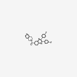 O=C(c1ccc2nc(-c3ccc(F)cc3)c(-c3ccc(F)cc3)nc2c1)N1CCc2cnccc2C1